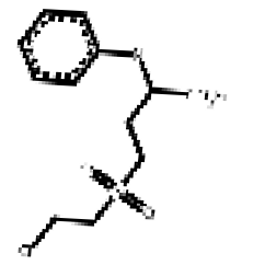 CCOC(=O)C(CCS(=O)(=O)CCCl)Nc1ccccc1